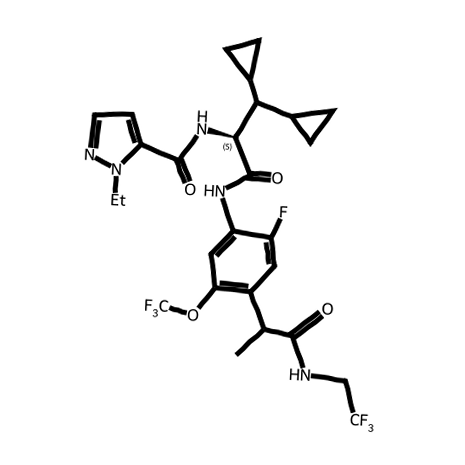 CCn1nccc1C(=O)N[C@H](C(=O)Nc1cc(OC(F)(F)F)c(C(C)C(=O)NCC(F)(F)F)cc1F)C(C1CC1)C1CC1